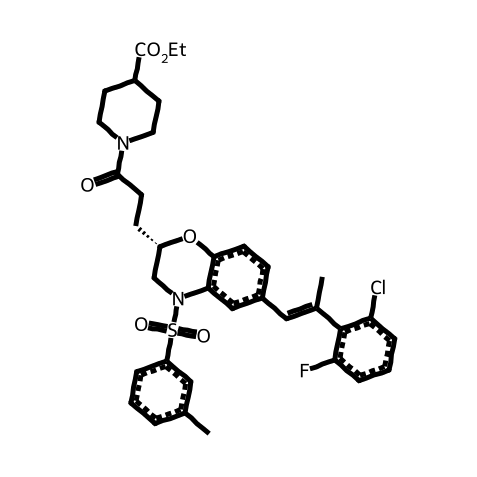 CCOC(=O)C1CCN(C(=O)CC[C@H]2CN(S(=O)(=O)c3cccc(C)c3)c3cc(/C=C(\C)c4c(F)cccc4Cl)ccc3O2)CC1